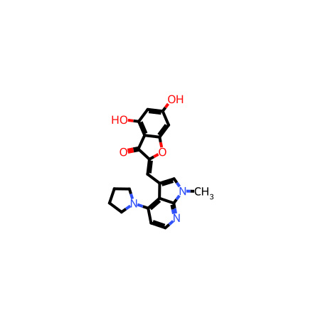 Cn1cc(C=C2Oc3cc(O)cc(O)c3C2=O)c2c(N3CCCC3)ccnc21